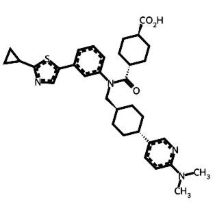 CN(C)c1ccc([C@H]2CC[C@H](CN(c3cccc(-c4cnc(C5CC5)s4)c3)C(=O)[C@H]3CC[C@H](C(=O)O)CC3)CC2)cn1